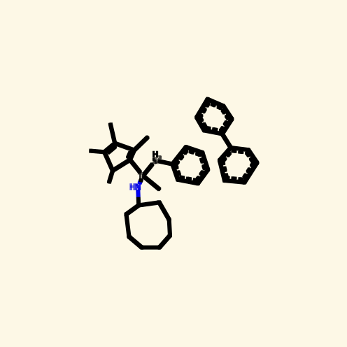 CC1=C(C)C(C)[C]([Ti]([CH3])([NH]C2CCCCCCC2)[SiH2]c2ccccc2)=C1C.c1ccc(-c2ccccc2)cc1